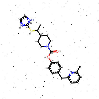 Cc1cccc(Cc2ccc(OC(=O)N3CCC(C(C)Sc4ncc[nH]4)CC3)cc2)n1